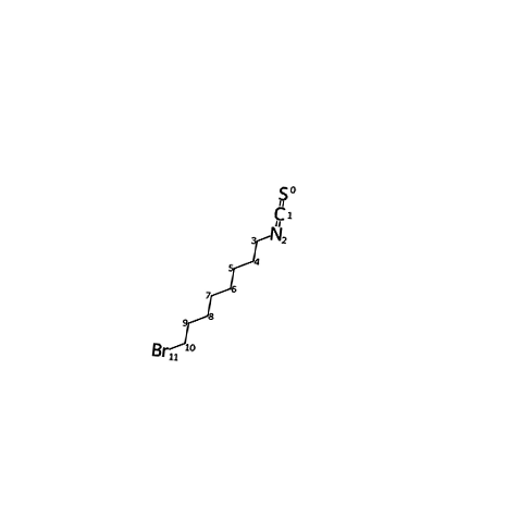 S=C=NCCCCCCCCBr